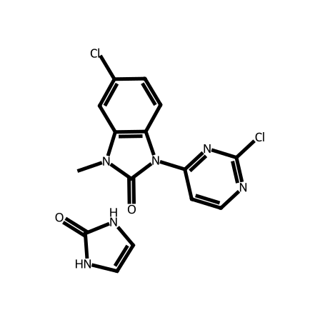 Cn1c(=O)n(-c2ccnc(Cl)n2)c2ccc(Cl)cc21.O=c1[nH]cc[nH]1